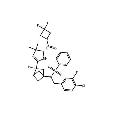 CC1(C)N=C([C@H]2CC3(N(Cc4ccc(Cl)c(F)c4)S(=O)(=O)c4ccccc4)CC2C3)N[C@H]1C(=O)N1CC(F)(F)C1